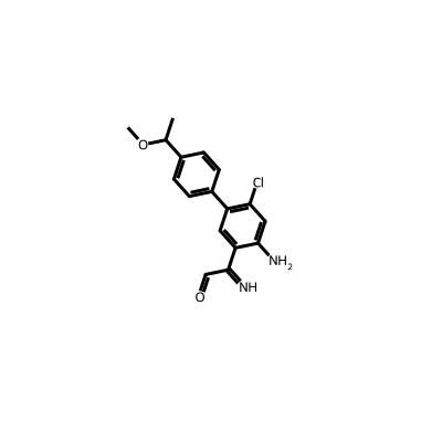 COC(C)c1ccc(-c2cc(C(=N)C=O)c(N)cc2Cl)cc1